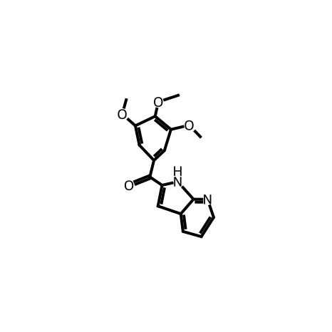 COc1cc(C(=O)c2cc3cccnc3[nH]2)cc(OC)c1OC